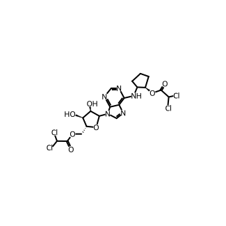 O=C(OC[C@H]1OC(n2cnc3c(NC4CCC[C@H]4OC(=O)C(Cl)Cl)ncnc32)[C@H](O)[C@@H]1O)C(Cl)Cl